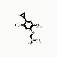 CCN(C)C=Nc1cc(C)c(C2CC2)cc1C